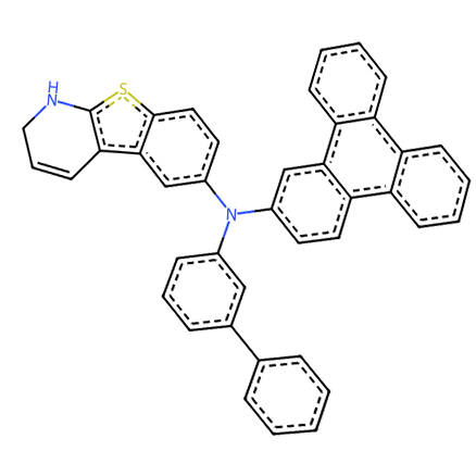 C1=Cc2c(sc3ccc(N(c4cccc(-c5ccccc5)c4)c4ccc5c6ccccc6c6ccccc6c5c4)cc23)NC1